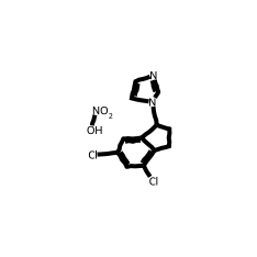 Clc1cc(Cl)c2c(c1)C(n1ccnc1)CC2.O=[N+]([O-])O